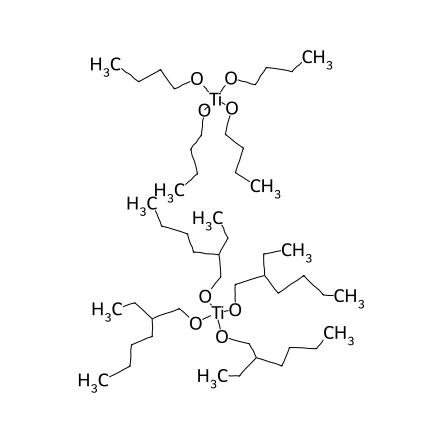 CCCCC(CC)C[O][Ti]([O]CC(CC)CCCC)([O]CC(CC)CCCC)[O]CC(CC)CCCC.CCCC[O][Ti]([O]CCCC)([O]CCCC)[O]CCCC